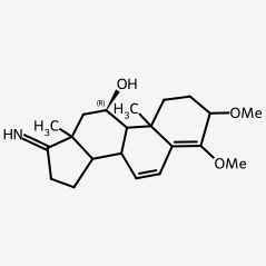 COC1=C2C=CC3C4CCC(=N)C4(C)C[C@@H](O)C3C2(C)CCC1OC